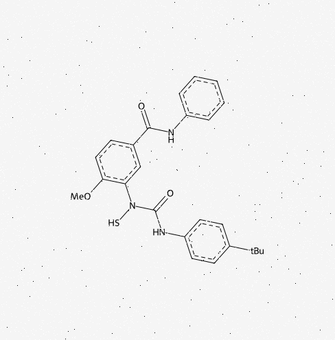 COc1ccc(C(=O)Nc2ccccc2)cc1N(S)C(=O)Nc1ccc(C(C)(C)C)cc1